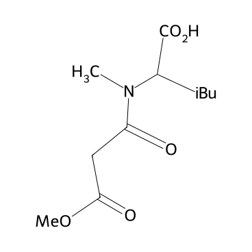 CCC(C)C(C(=O)O)N(C)C(=O)CC(=O)OC